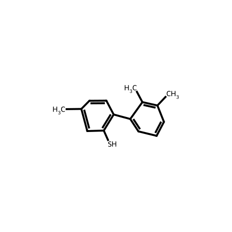 Cc1ccc(-c2cccc(C)c2C)c(S)c1